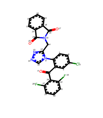 O=C(c1cc(Cl)ccc1-n1cnnc1CN1C(=O)c2ccccc2C1=O)c1c(F)cccc1F